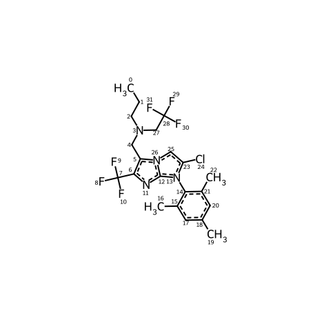 CCCN(Cc1c(C(F)(F)F)nc2n(-c3c(C)cc(C)cc3C)c(Cl)cn12)CC(F)(F)F